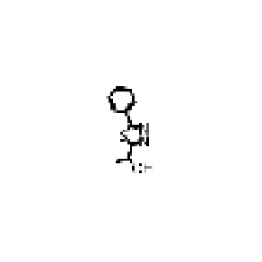 CC(O)c1nnc(-c2ccccc2)s1